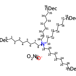 CCCCCCCCCCCCCCCCCC[N+](CCCCCCCCCCCCCCCCCC)(CCCCCCCCCCCCCCCCCC)CCCCCCCCCCCCCCCCCC.O=[N+]([O-])[O-]